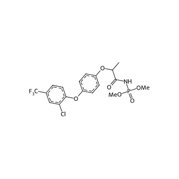 COP(=O)(NC(=O)C(C)Oc1ccc(Oc2ccc(C(F)(F)F)cc2Cl)cc1)OC